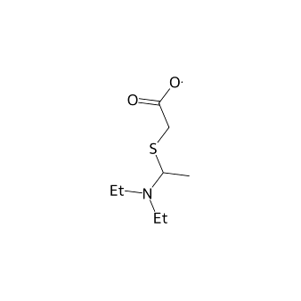 CCN(CC)C(C)SCC([O])=O